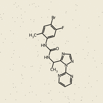 Cc1cc(Br)c(F)cc1NC(=O)NC(C)c1ncnn1-c1ncccn1